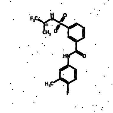 Cc1cc(NC(=O)c2cccc(S(=O)(=O)N[C@@H](C)C(F)(F)F)c2)ccc1F